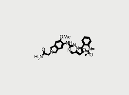 COc1cc2c(cc1Nc1ncc3ccc(-c4ccccc4N(C)S(C)(=O)=O)n3n1)CN(CC(N)=O)C2